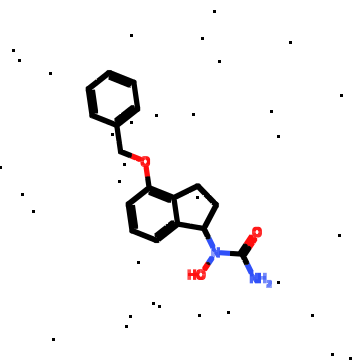 NC(=O)N(O)C1CCc2c(OCc3ccccc3)cccc21